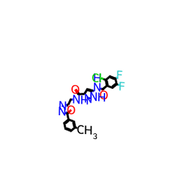 Cc1cccc(-c2nnc(CNC(=O)c3cc(NC(=O)c4cc(F)c(F)cc4Cl)[nH]n3)o2)c1